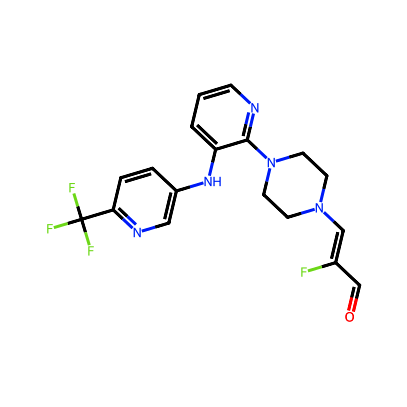 O=CC(F)=CN1CCN(c2ncccc2Nc2ccc(C(F)(F)F)nc2)CC1